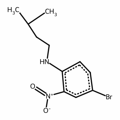 CC(C)CCNc1ccc(Br)cc1[N+](=O)[O-]